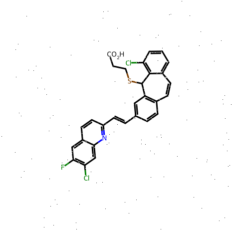 O=C(O)CCSC1c2cc(C=Cc3ccc4cc(F)c(Cl)cc4n3)ccc2C=Cc2cccc(Cl)c21